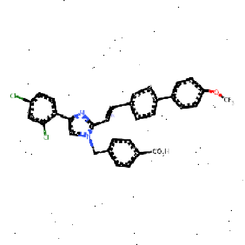 O=C(O)c1ccc(Cn2cc(-c3ccc(Cl)cc3Cl)nc2/C=C/c2ccc(-c3ccc(OC(F)(F)F)cc3)cc2)cc1